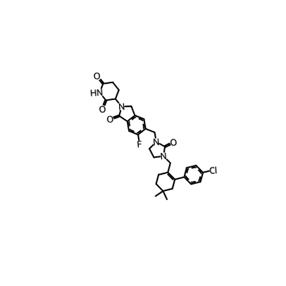 CC1(C)CCC(CN2CCN(Cc3cc4c(cc3F)C(=O)N(C3CCC(=O)NC3=O)C4)C2=O)=C(c2ccc(Cl)cc2)C1